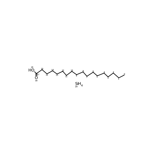 CCCCCCCCCCCCCCCCCC(=O)O.[SiH4]